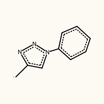 [CH2]c1cn(-c2ccccc2)nn1